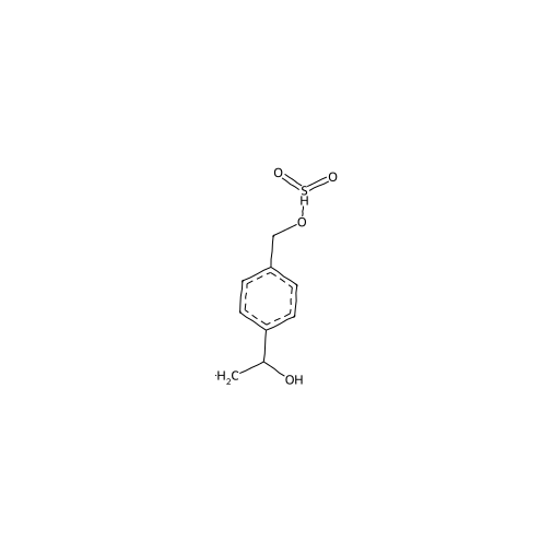 [CH2]C(O)c1ccc(CO[SH](=O)=O)cc1